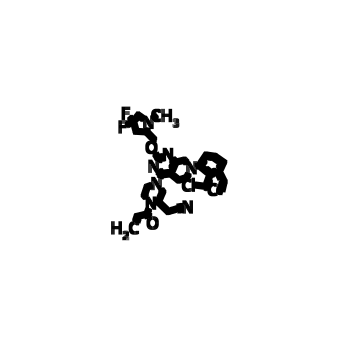 C=CC(=O)N1CCN(c2nc(OCC3CC(F)(F)CN3C)nc3c2CCN(c2cccc4cccc(Cl)c24)C3)CC1CC#N